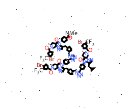 CNC(=O)c1ccc(-n2c(=O)c3c(n4ncc(Cc5cccc(Cn6cnnc6-c6ccc(-n7c(=O)c8c(n9ncc(Cc%10cccc(Cn%11cnnc%11-c%11ccc(-n%12c(=O)c%13c(n%14ncc(CC%15CC%15)c%12%14)CN(C(=O)c%12ccc(Br)c(C(F)(F)F)c%12)[C@@H](C)C%13)cc%11)c%10)c79)CN(C(=O)c7ccc(Br)c(C(F)(F)F)c7)[C@@H](C)C8)cc6)c5)c24)CN(C(=O)c2ccc(Br)c(C(F)(F)F)c2)[C@@H](C)C3)cc1